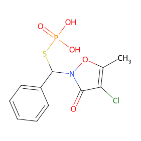 Cc1on(C(SP(=O)(O)O)c2ccccc2)c(=O)c1Cl